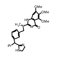 COc1cc2[nH]c(N(C)Cc3cccc(C(C4=NCCN4)C(C)C)c3)nc(=O)c2c(OC)c1OC